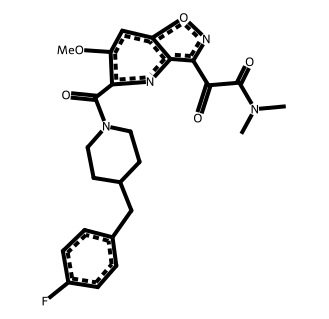 COc1cc2onc(C(=O)C(=O)N(C)C)c2nc1C(=O)N1CCC(Cc2ccc(F)cc2)CC1